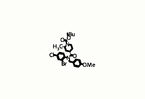 COc1ccc(CN(C(=O)[C@H]2CCN(C(=O)OC(C)(C)C)[C@@H](C)C2)c2ccc(Cl)cc2Br)cc1